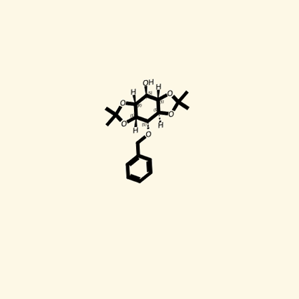 CC1(C)O[C@H]2[C@@H](OCc3ccccc3)[C@@H]3OC(C)(C)O[C@H]3[C@H](O)[C@H]2O1